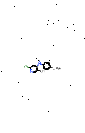 COc1ccc(N(C)c2cc(Cl)ncc2C#N)cc1